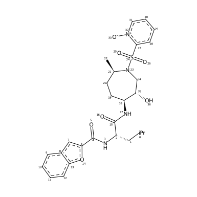 CC(C)C[C@H](NC(=O)c1cc2ccccc2o1)C(=O)N[C@H]1CC[C@@H](C)N(S(=O)(=O)c2cccc[n+]2[O-])C[C@@H]1O